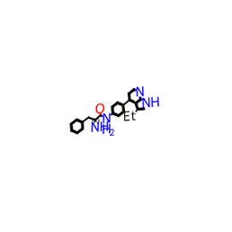 CCc1c[nH]c2nccc(-c3ccc(NC(=O)[C@H](N)Cc4ccccc4)cc3)c12